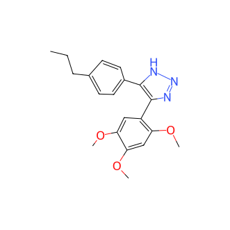 CCCc1ccc(-c2[nH]nnc2-c2cc(OC)c(OC)cc2OC)cc1